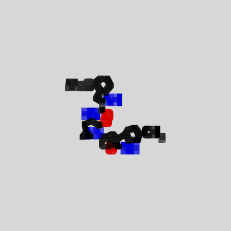 COc1cccc2[nH]c(C(=O)NC(CC3CC3)C(=O)NC(C#N)CC3C(=O)Nc4cc(C)ccc43)cc12